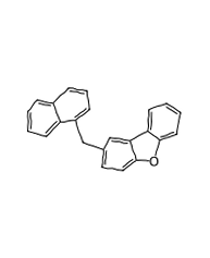 c1ccc2c(Cc3ccc4oc5ccccc5c4c3)cccc2c1